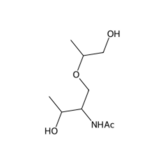 CC(=O)NC(COC(C)CO)C(C)O